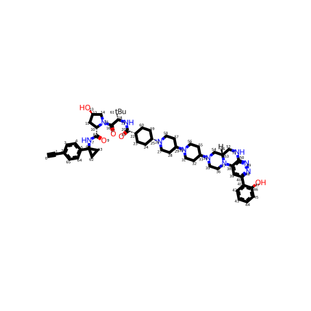 C#Cc1ccc(C2(NC(=O)[C@@H]3C[C@@H](O)CN3C(=O)[C@@H](NC(=O)[C@H]3CC[C@@H](N4CCC(N5CCC(N6CCN7c8cc(-c9ccccc9O)nnc8NC[C@H]7C6)CC5)CC4)CC3)C(C)(C)C)CC2)cc1